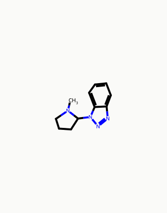 CN1CCCC1n1nnc2ccccc21